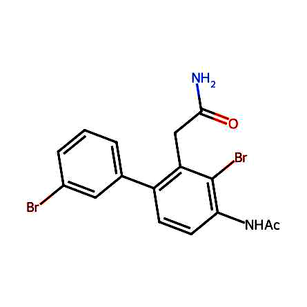 CC(=O)Nc1ccc(-c2cccc(Br)c2)c(CC(N)=O)c1Br